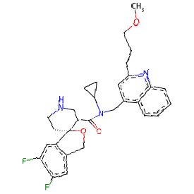 COCCCc1cc(CN(C(=O)C2CNCC[C@@]23OCc2cc(F)c(F)cc23)C2CC2)c2ccccc2n1